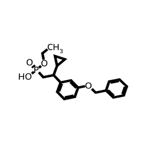 CCOP(=O)(O)CC(c1cccc(OCc2ccccc2)c1)C1CC1